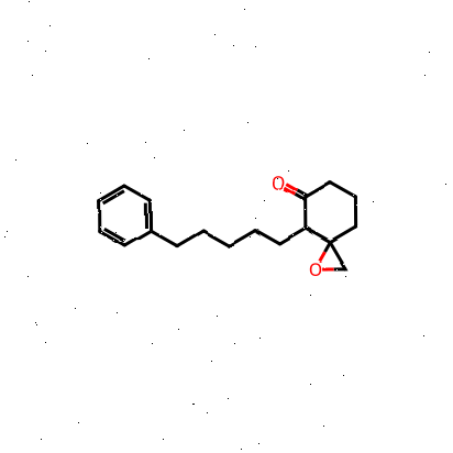 O=C1CCCC2(CO2)C1CCCCCc1ccccc1